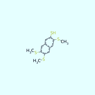 CSc1cc2cc(SC)c(SC)cc2cc1S